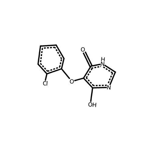 O=c1[nH]cnc(O)c1Oc1ccccc1Cl